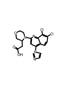 O=C(O)CC1COCCN1c1cc(-n2ccnc2)c2ccc(Cl)c(Cl)c2n1